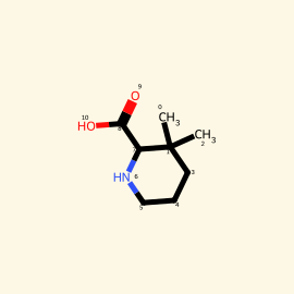 CC1(C)CCCNC1C(=O)O